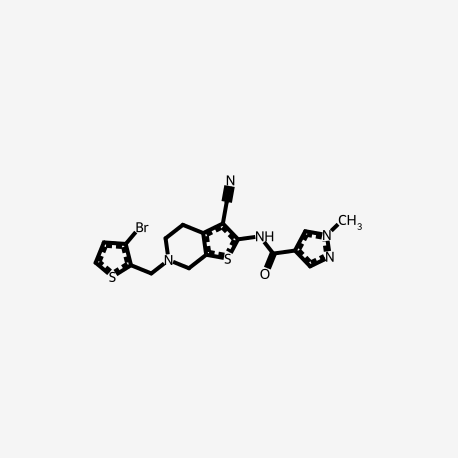 Cn1cc(C(=O)Nc2sc3c(c2C#N)CCN(Cc2sccc2Br)C3)cn1